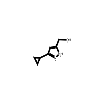 OCc1[c]c(C2CC2)n[nH]1